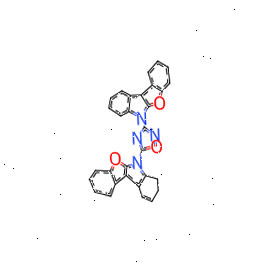 C1=Cc2c(n(-c3nc(-n4c5ccccc5c5c6ccccc6oc54)no3)c3oc4ccccc4c23)CC1